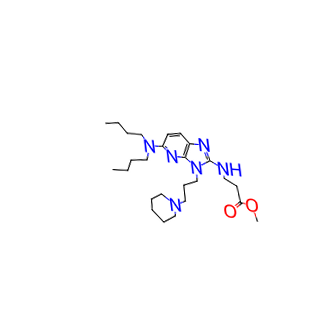 CCCCN(CCCC)c1ccc2nc(NCCC(=O)OC)n(CCCN3CCCCC3)c2n1